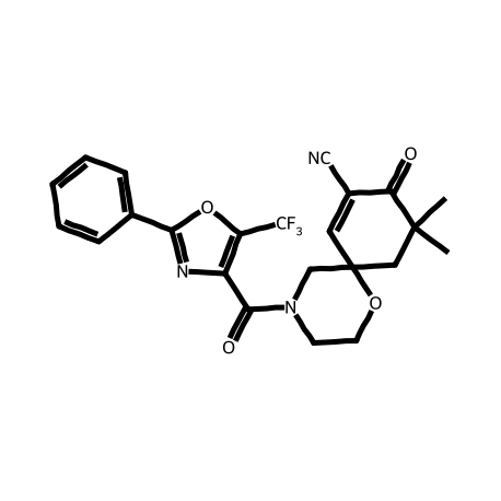 CC1(C)CC2(C=C(C#N)C1=O)CN(C(=O)c1nc(-c3ccccc3)oc1C(F)(F)F)CCO2